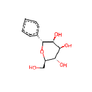 OC[C@H]1O[C@H](c2ccccc2)[C@@H](O)[C@@H](O)[C@@H]1O